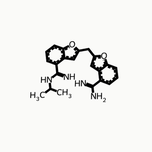 CC(C)NC(=N)c1cccc2oc(Cc3cc4c(C(=N)N)cccc4o3)cc12